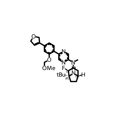 COCOc1cc(C2=CCOC2)ccc1-c1cnc(N(C)[C@H]2C[C@@H]3CC[C@](C(C)(C)C)(N3)[C@H]2F)cn1